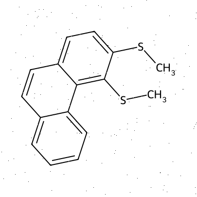 CSc1ccc2ccc3ccccc3c2c1SC